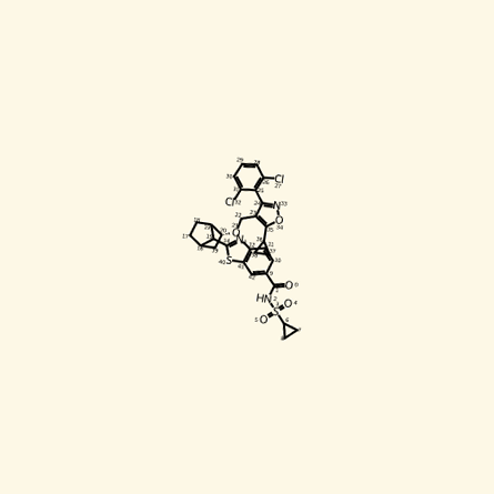 O=C(NS(=O)(=O)C1CC1)c1ccc2nc(C3C4CCC3[C@H](OCc3c(-c5c(Cl)cccc5Cl)noc3C3CC3)C4)sc2c1